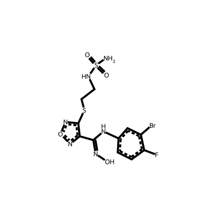 NS(=O)(=O)NCCSc1nonc1/C(=N/O)Nc1ccc(F)c(Br)c1